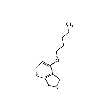 CCCCCOc1cccc2c1COC2